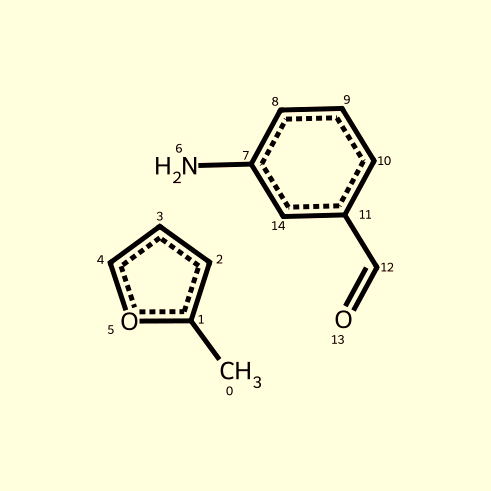 Cc1ccco1.Nc1cccc(C=O)c1